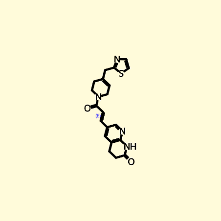 O=C1CCc2cc(/C=C/C(=O)N3CC=C(Cc4nccs4)CC3)cnc2N1